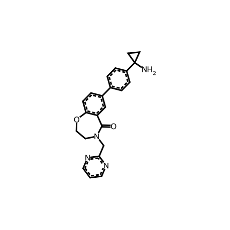 NC1(c2ccc(-c3ccc4c(c3)C(=O)N(Cc3ncccn3)CCO4)cc2)CC1